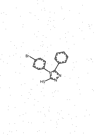 Sc1nnc(-c2ccccc2)n1-c1ccc(Br)cc1